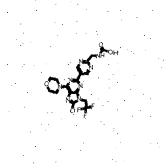 O=C(O)NCc1ncc(-c2nc(N3CCOCC3)c3nc(Cl)n(CC(F)(F)F)c3n2)cn1